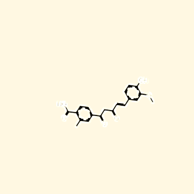 COc1cc(/C=C/C(=O)CC(=O)c2ccc(C(=O)O)c(C)c2)ccc1O